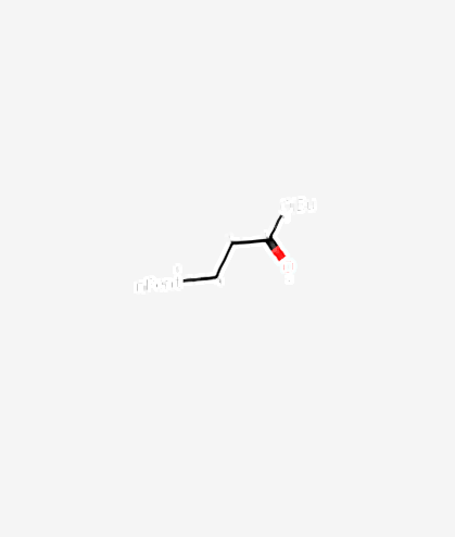 [CH2]C(C)COC(=O)CCCCCCC